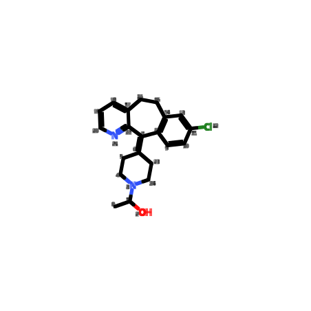 CC(O)N1CCC(=C2c3ccc(Cl)cc3CCc3cccnc32)CC1